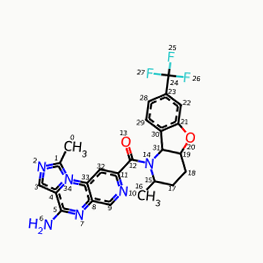 Cc1ncc2c(N)nc3cnc(C(=O)N4C(C)CCC5Oc6cc(C(F)(F)F)ccc6C54)cc3n12